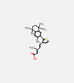 CC(/C=C/c1ccsc1-c1cc2c(cc1C)C(C)(C)CCC2(C)C)=C\C(=O)O